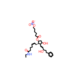 CCNC(=O)CCC/C=C\C[C@@H]1C(/C=C/[C@@H](O)CCc2ccccc2)C(O)C[C@@H]1OC(=O)CCCCCO[N+](=O)[O-]